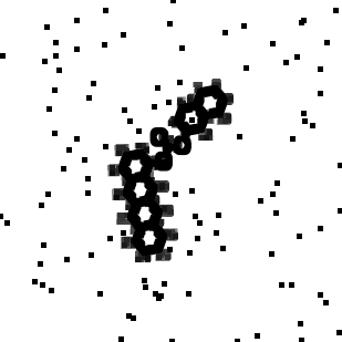 O=C(Oc1ccc2ccccc2c1)Oc1cccc2cc3cc4ccccc4cc3cc12